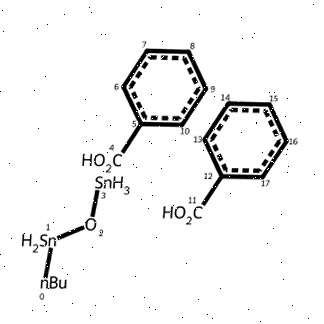 CCC[CH2][SnH2][O][SnH3].O=C(O)c1ccccc1.O=C(O)c1ccccc1